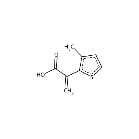 C=C(C(=O)O)c1sccc1C